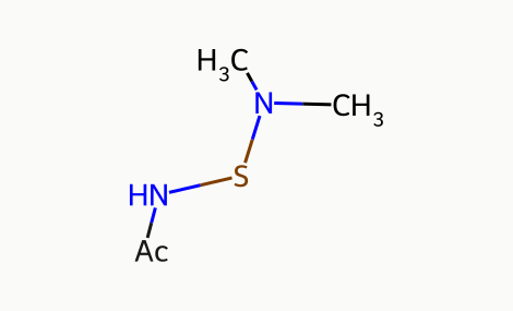 CC(=O)NSN(C)C